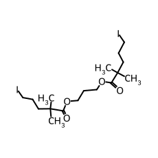 CC(C)(CCCI)C(=O)OCCCOC(=O)C(C)(C)CCCI